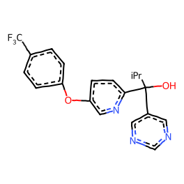 CC(C)C(O)(c1cncnc1)c1ccc(Oc2ccc(C(F)(F)F)cc2)cn1